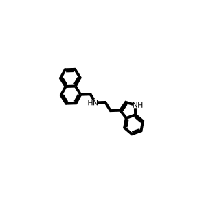 c1ccc2c(CNCCc3c[nH]c4ccccc34)cccc2c1